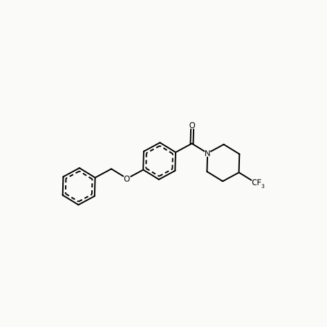 O=C(c1ccc(OCc2ccccc2)cc1)N1CCC(C(F)(F)F)CC1